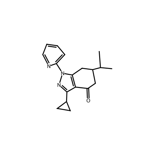 CC(C)C1CC(=O)c2c(C3CC3)nn(-c3ccccn3)c2C1